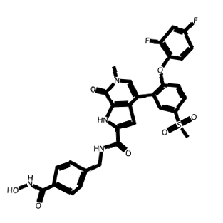 Cn1cc(-c2cc(S(C)(=O)=O)ccc2Oc2ccc(F)cc2F)c2cc(C(=O)NCc3ccc(C(=O)NO)cc3)[nH]c2c1=O